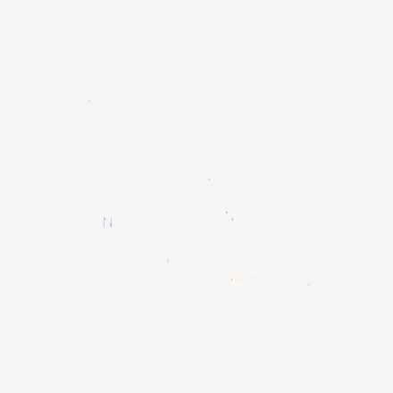 CCN1/C(=C/c2oc3ccccc3[n+]2CC)Sc2ccccc21